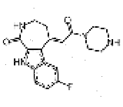 O=C1NCCC(=CC(=O)N2CCNCC2)c2c1[nH]c1ccc(F)cc21